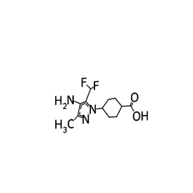 Cc1nn(C2CCC(C(=O)O)CC2)c(C(F)F)c1N